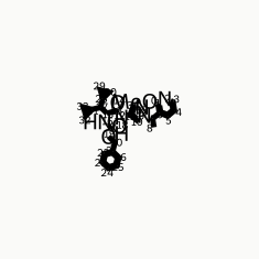 COc1ncccc1C(C)n1cc(NC(=O)C(NC(=O)OCc2ccccc2)C(C2CC2)C2CC2)cn1